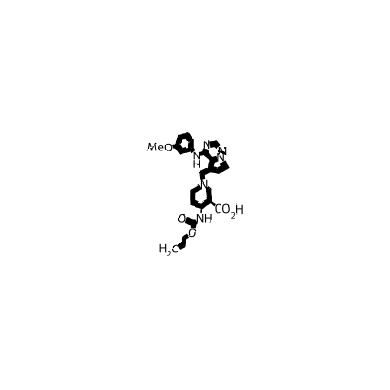 C=CCOC(=O)N[C@@H]1CCN(Cc2ccn3ncnc(Nc4cccc(OC)c4)c23)C[C@H]1C(=O)O